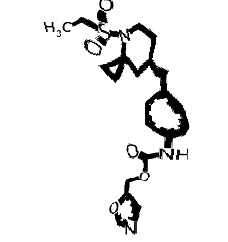 CCS(=O)(=O)N1CCC(Cc2ccc(NC(=O)OCc3cnco3)cc2)CC12CC2